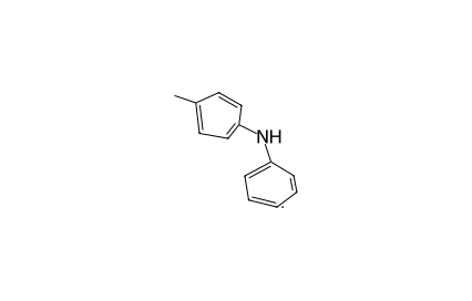 Cc1ccc(Nc2cc[c]cc2)cc1